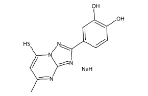 Cc1cc(S)n2nc(-c3ccc(O)c(O)c3)nc2n1.[NaH]